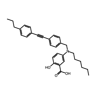 CCCCCCN(Cc1ccc(C#Cc2ccc(CCC)cc2)cc1)c1ccc(O)c(C(=O)O)c1